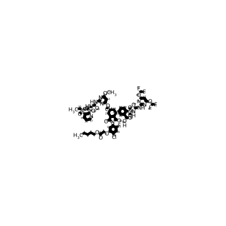 CCCCCOC(=O)COc1cc(N2C(=O)C3=C(CCCC3)C2=O)c(F)cc1Cl.CCS(=O)(=O)c1cccnc1S(=O)(=O)NC(=O)Nc1nc(OC)cc(OC)n1.O=C(Nc1nc(OC(F)F)cc(OC(F)F)n1)NS(=O)(=O)c1ccccc1C(=O)O